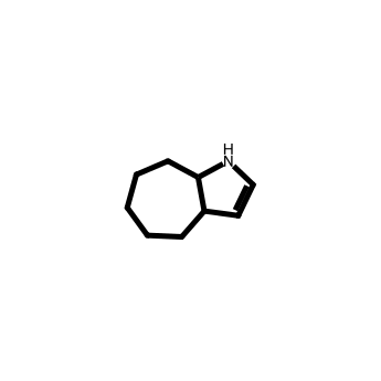 C1=CC2CCCCCC2N1